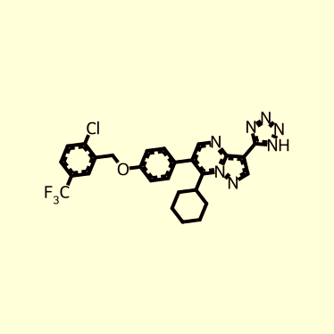 FC(F)(F)c1ccc(Cl)c(COc2ccc(-c3cnc4c(-c5nnn[nH]5)cnn4c3C3CCCCC3)cc2)c1